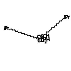 CC(C)CCCCCCCCCCCCCCCCCCCC(CCCCCCCCCCCCCCCCCCCC(C)C)(C(=O)O)C(=O)O